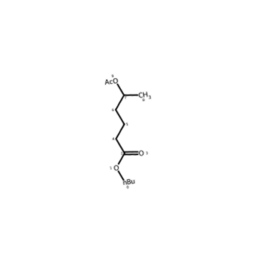 CCCCOC(=O)CCCC(C)OC(C)=O